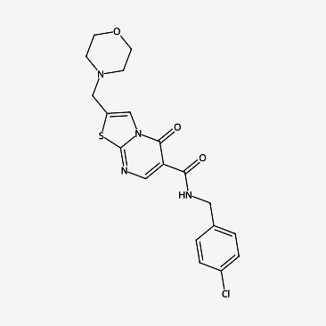 O=C(NCc1ccc(Cl)cc1)c1cnc2sc(CN3CCOCC3)cn2c1=O